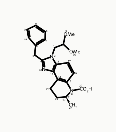 COC(Cn1c(Cc2ccccc2)nc2c3c(ccc21)N(C(=O)O)[C@@H](C)CC3)OC